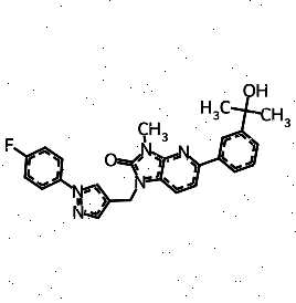 Cn1c(=O)n(Cc2cnn(-c3ccc(F)cc3)c2)c2ccc(-c3cccc(C(C)(C)O)c3)nc21